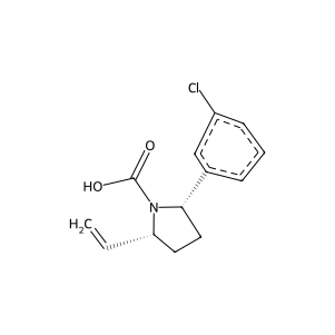 C=C[C@H]1CC[C@@H](c2cccc(Cl)c2)N1C(=O)O